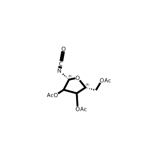 CC(=O)OC[C@H]1O[C@@H](N=C=O)C(OC(C)=O)C1OC(C)=O